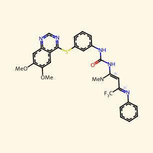 CN/C(=C\C(=N\c1ccccc1)C(F)(F)F)NC(=O)Nc1cccc(Sc2ncnc3cc(OC)c(OC)cc23)c1